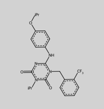 CC(C)Oc1ccc(Nc2nc(=O)n(C(C)C)c(=O)n2Cc2ccccc2C(F)(F)F)cc1